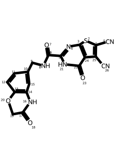 N#Cc1sc2nc(C(=O)NCc3ccc4c(c3)NC(=O)CO4)[nH]c(=O)c2c1C#N